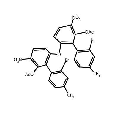 CC(=O)Oc1c([N+](=O)[O-])ccc(Oc2ccc([N+](=O)[O-])c(OC(C)=O)c2-c2ccc(C(F)(F)F)cc2Br)c1-c1ccc(C(F)(F)F)cc1Br